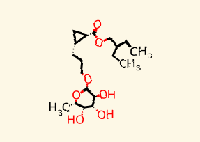 CCC(CC)COC(=O)[C@H]1C[C@H]1CCCO[C@@H]1O[C@@H](C)[C@@H](O)[C@@H](O)[C@@H]1O